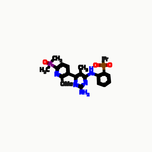 COc1nc(P(C)(C)=O)ccc1-c1nc(N)nc(Nc2ccccc2S(=O)(=O)C(C)C)c1C